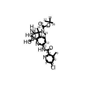 Cc1cc(Cl)cnc1C(=O)Nc1ccc(C(C)(C(N)=O)N(C)C(=O)OC(C)(C)C)c(B(O)O)n1